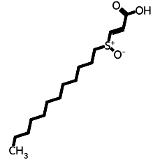 CCCCCCCCCCCC[S+]([O-])/C=C/C(=O)O